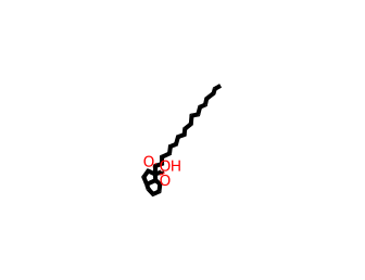 CCCCCCCCCCCCCCCCCC(=O)C1(C(=O)O)CCC2CCCCC21